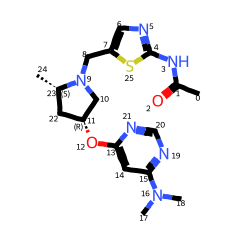 CC(=O)Nc1ncc(CN2C[C@H](Oc3cc(N(C)C)ncn3)C[C@@H]2C)s1